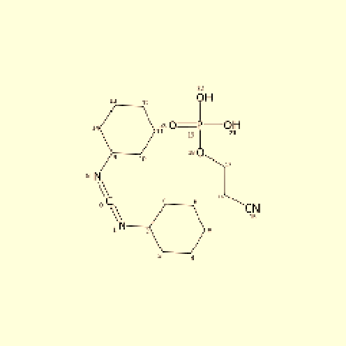 C(=NC1CCCCC1)=NC1CCCCC1.N#CCCOP(=O)(O)O